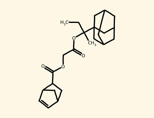 CCC(C)(OC(=O)COC(=O)C1CC2C=CC1C2)C12CC3CC(CC(C3)C1)C2